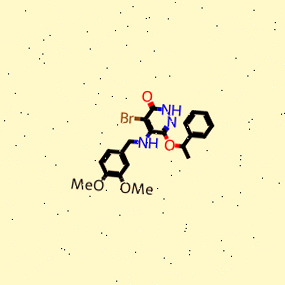 COc1ccc(CNc2c(OC(C)c3ccccc3)n[nH]c(=O)c2Br)cc1OC